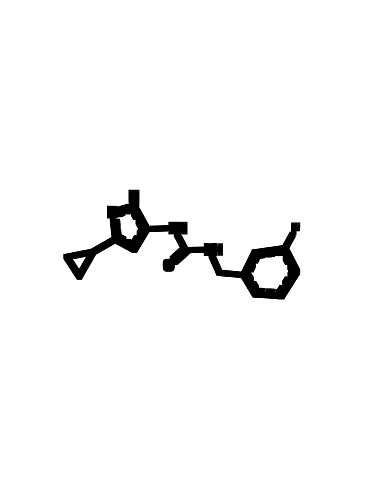 O=C(NCc1cccc(F)c1)Nc1cc(C2CC2)n[nH]1